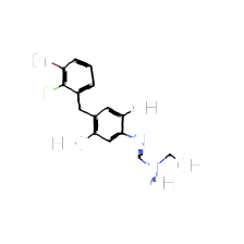 CCN(C)C=Nc1cc(C)c(Cc2cccc(Br)c2F)cc1C